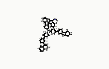 C/C=C\C=C(/C)C1(c2ccccc2)c2ccccc2-c2ccc(N(c3ccc(-c4cccc(-c5cccc6ccccc56)c4)cc3)c3ccc(-c4ccc5c(c4)sc4ccccc45)cc3)cc21